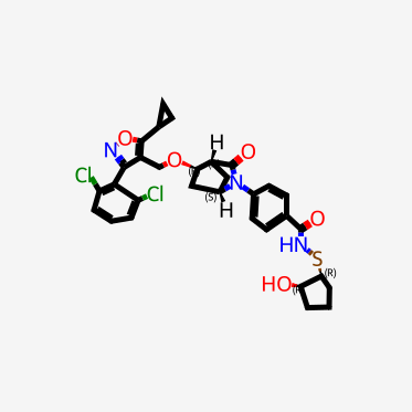 O=C(NS[C@@H]1CCC[C@H]1O)c1ccc(N2C(=O)[C@@H]3C[C@H]2C[C@H]3OCc2c(-c3c(Cl)cccc3Cl)noc2C2CC2)cc1